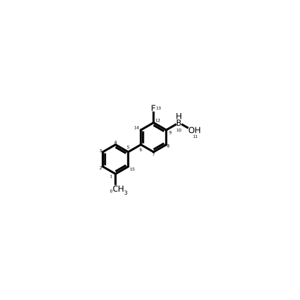 Cc1cccc(-c2ccc(BO)c(F)c2)c1